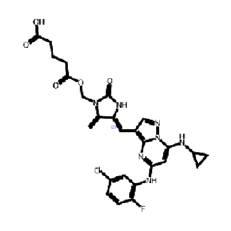 C=c1/c(=C/c2cnn3c(NC4CC4)cc(Nc4cc(Cl)ccc4F)nc23)[nH]c(=O)n1COC(=O)CCCC(=O)O